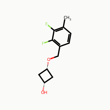 Cc1ccc(CO[C@H]2C[C@@H](O)C2)c(F)c1F